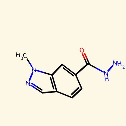 Cn1ncc2ccc(C(=O)NN)cc21